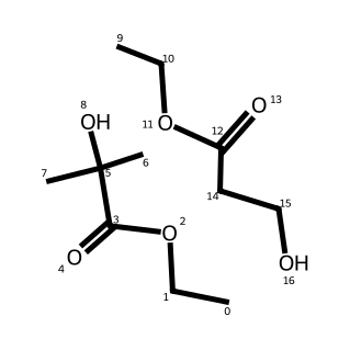 CCOC(=O)C(C)(C)O.CCOC(=O)CCO